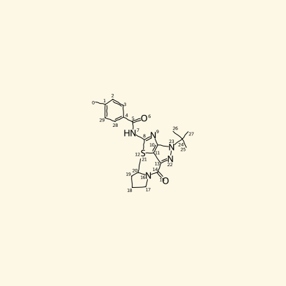 Cc1ccc(C(=O)Nc2nc3c(s2)c(C(=O)N2CCCC2C)nn3C(C)(C)C)cc1